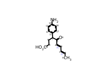 C/C=C/C=C/C(=O)C(CCC(=O)O)c1ccc(N)cc1